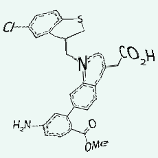 COC(=O)c1ccc(N)cc1-c1ccc2c(CC(=O)O)cn(CC3CSc4ccc(Cl)cc43)c2c1